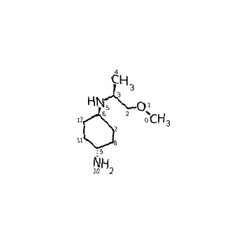 COC[C@H](C)N[C@H]1CC[C@H](N)CC1